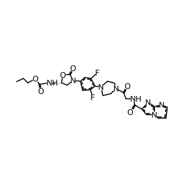 CCCOC(=O)NC[C@H]1CN(c2cc(F)c(N3CCN(C(=O)CNC(=O)c4cn5cccnc5n4)CC3)c(F)c2)C(=O)O1